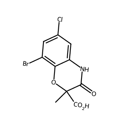 CC1(C(=O)O)Oc2c(Br)cc(Cl)cc2NC1=O